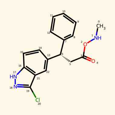 CNOC(=O)C[C@@H](c1ccccc1)c1ccc2[nH]nc(Cl)c2c1